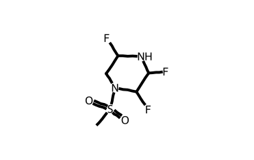 CS(=O)(=O)N1CC(F)NC(F)C1F